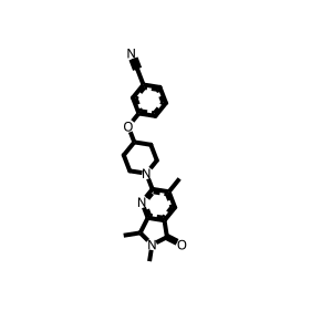 Cc1cc2c(nc1N1CCC(Oc3cccc(C#N)c3)CC1)C(C)N(C)C2=O